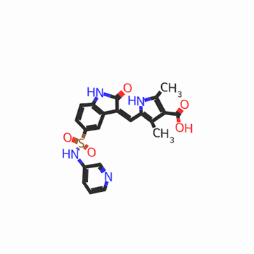 Cc1[nH]c(C=C2C(=O)Nc3ccc(S(=O)(=O)Nc4cccnc4)cc32)c(C)c1C(=O)O